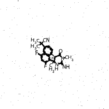 CN1C(=N)N[C@](C)(c2ccc(F)cc2F)[C@@H](c2ccc(C(C)(C)C#N)cc2)C1=O